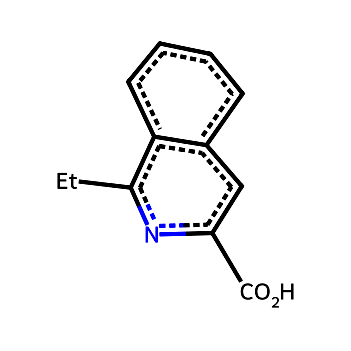 CCc1nc(C(=O)O)cc2ccccc12